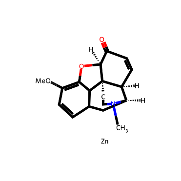 COC1=C2O[C@H]3C(=O)C=C[C@H]4[C@H]5CC(C=C1)C2[C@@]34CCN5C.[Zn]